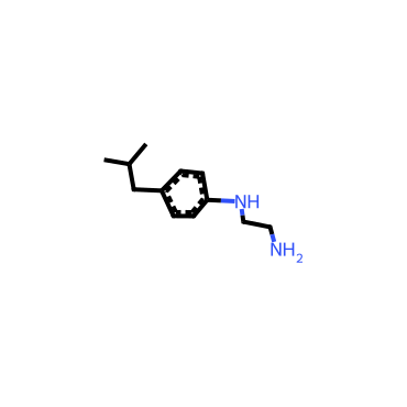 CC(C)Cc1ccc(NCCN)cc1